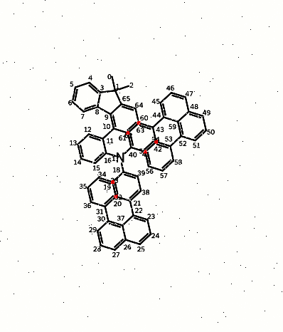 CC1(C)c2ccccc2-c2c(-c3ccccc3N(c3ccc(-c4cccc5cccc(-c6ccccc6)c45)cc3)c3ccc(-c4cccc5cccc(-c6ccccc6)c45)cc3)cccc21